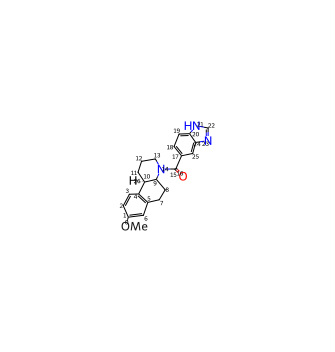 COc1ccc2c(c1)CCC1[C@@H]2CCCN1C(=O)c1ccc2[nH]cnc2c1